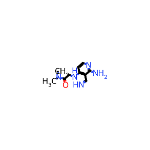 CN(C)C(=O)CNc1ccnc(N)c1C=N